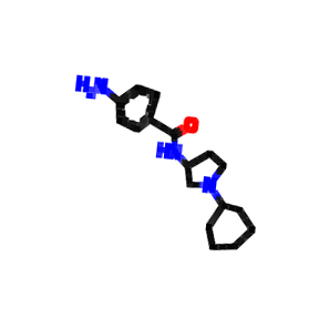 Nc1ccc(C(=O)NC2CCN(C3CCCCC3)C2)cc1